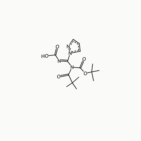 CC(C)(C)OC(=O)N(C(=O)C(C)(C)C)C(=NC(=O)O)n1cccn1